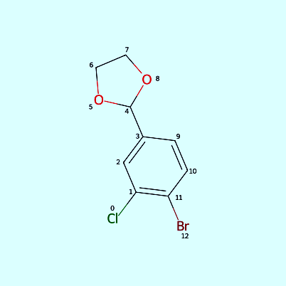 Clc1cc(C2OCCO2)ccc1Br